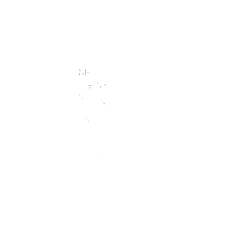 Nc1nc(Nc2cc(Cl)c(-c3ccc(Cl)cc3Cl)c(Cl)c2)n[nH]1